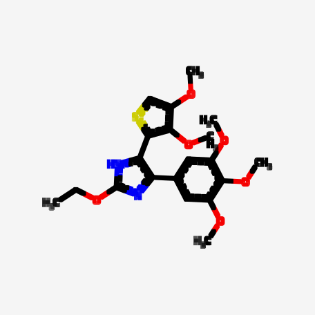 CCOc1nc(-c2cc(OC)c(OC)c(OC)c2)c(-c2scc(OC)c2OC)[nH]1